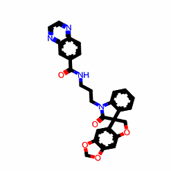 O=C(NCCCN1C(=O)C2(COc3cc4c(cc32)OCO4)c2ccccc21)c1ccc2nccnc2c1